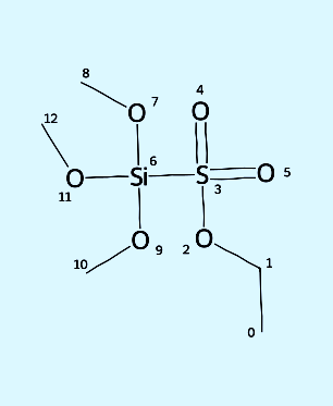 CCOS(=O)(=O)[Si](OC)(OC)OC